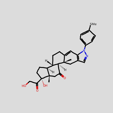 CSc1ccc(-n2ncc3c2C=C2CC[C@@H]4[C@H](C(=O)C[C@@]5(C)[C@H]4CC[C@]5(O)C(=O)CO)[C@@]2(C)C3)cc1